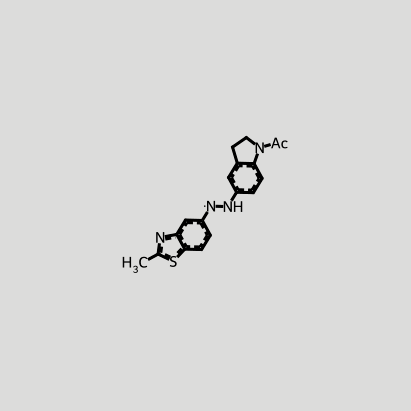 CC(=O)N1CCc2cc(N[N]c3ccc4sc(C)nc4c3)ccc21